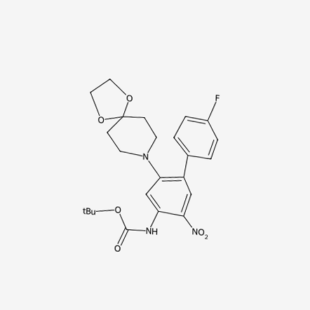 CC(C)(C)OC(=O)Nc1cc(N2CCC3(CC2)OCCO3)c(-c2ccc(F)cc2)cc1[N+](=O)[O-]